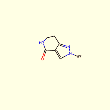 CC(C)n1cc2c(n1)CCNC2=O